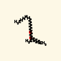 CCCCC/C=C\C/C=C\CCCCCCCCOCCCOC(C)CCCCCCC